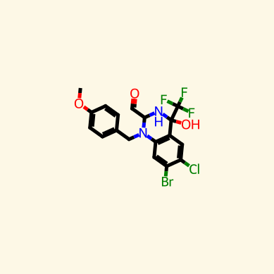 COc1ccc(CN2c3cc(Br)c(Cl)cc3C(O)(C(F)(F)F)NC2C=O)cc1